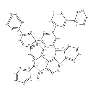 c1ccc(-c2cccc(-c3nc(-c4cccc(-c5ccccc5)c4)nc(-n4c5ccccc5c5ccc6c(c7ccccc7n7c8ccccc8nc67)c54)n3)c2)cc1